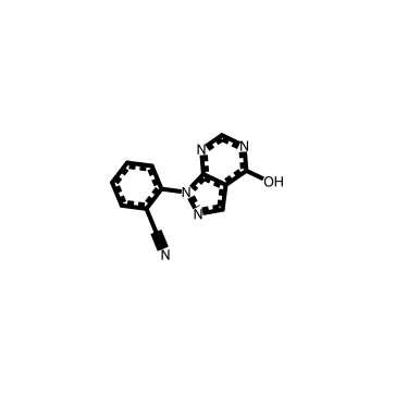 N#Cc1ccccc1-n1ncc2c(O)ncnc21